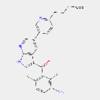 COCCCc1ccc(-c2cnc3[nH]cc(C(=O)c4c(F)ccc(N)c4F)c3c2)cn1